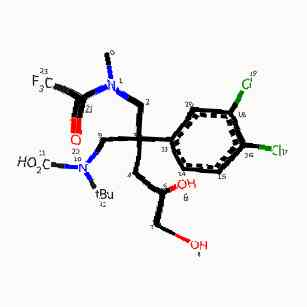 CN(CC(CC(O)CO)(CN(C(=O)O)C(C)(C)C)c1ccc(Cl)c(Cl)c1)C(=O)C(F)(F)F